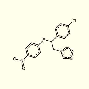 O=[N+]([O-])c1ccc(SC(Cn2ccnc2)c2ccc(Cl)cc2)cc1